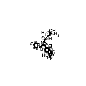 CC(C)(O)CCNC(=O)c1nc(C(=O)N2CCC(F)CC2)c(-c2ccc(C(O)(C(F)(F)F)C(F)(F)F)c(Cl)c2Cl)s1